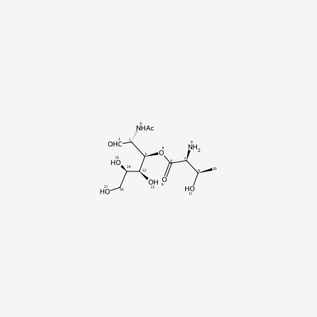 CC(=O)N[C@@H](C=O)[C@@H](OC(=O)[C@@H](N)[C@@H](C)O)[C@@H](O)[C@H](O)CO